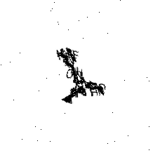 CNC(=O)C1CCN(c2cnc(C(=O)Nc3csc(-c4nncn4C(C)C(F)(F)F)n3)cc2-n2cnc(C3CC3)c2)CC1